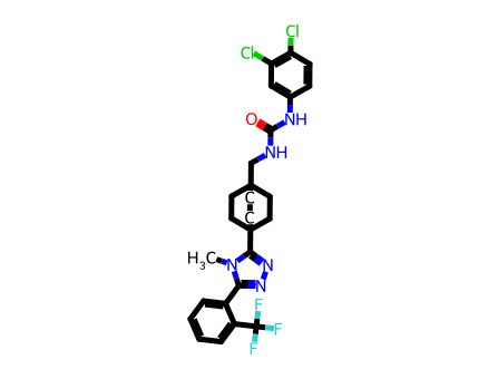 Cn1c(-c2ccccc2C(F)(F)F)nnc1C12CCC(CNC(=O)Nc3ccc(Cl)c(Cl)c3)(CC1)CC2